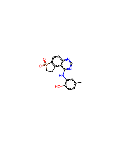 Cc1ccc(O)c(Nc2ncnc3ccc4c(c23)CCS4(=O)=O)c1